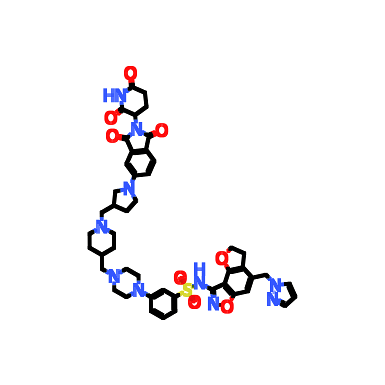 O=C1CCC(N2C(=O)c3ccc(N4CCC(CN5CCC(CN6CCN(c7cccc(S(=O)(=O)Nc8noc9cc(Cn%10cccn%10)c%10c(c89)OCC%10)c7)CC6)CC5)C4)cc3C2=O)C(=O)N1